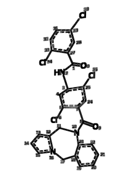 O=C(Nc1cc(Cl)c(C(=O)N2Cc3cccn3Cc3ccccc32)cc1Cl)c1cc(Cl)ccc1Cl